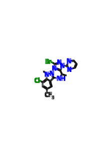 CC(Nc1nn(C)c2c(Cl)cc(C(F)(F)F)cc12)c1nc(Br)nn1-c1ncccn1